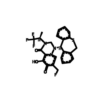 C[C@@H](N1CN([C@H]2c3ccccc3CSc3ccccc32)n2cc(CF)c(=O)c(O)c2C1=O)C(F)(F)F